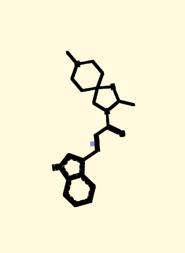 CC1SC2(CCN(C)CC2)CN1C(=O)/C=C/c1c[nH]c2ccccc12